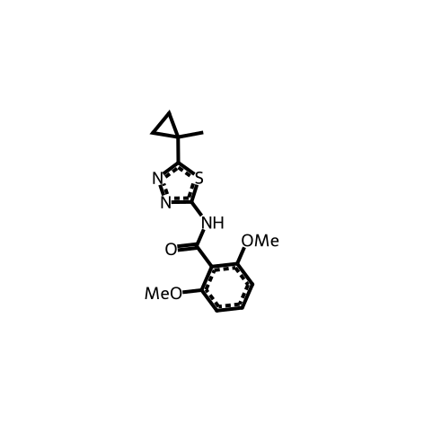 COc1cccc(OC)c1C(=O)Nc1nnc(C2(C)CC2)s1